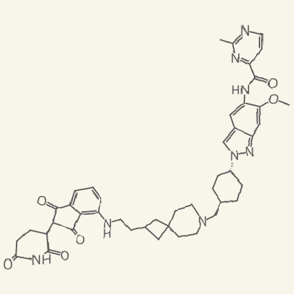 COc1cc2nn([C@H]3CC[C@H](CN4CCC5(CC4)CC(CCNc4cccc6c4C(=O)C(C4CCC(=O)NC4=O)C6=O)C5)CC3)cc2cc1NC(=O)c1ccnc(C)n1